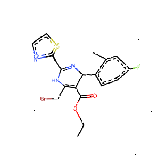 CCOC(=O)C1=C(CBr)NC(c2nccs2)=NC1c1ccc(F)cc1C